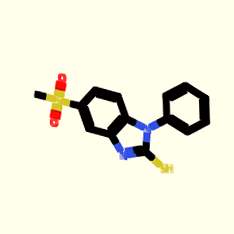 CS(=O)(=O)c1ccc2c(c1)nc(S)n2-c1ccccc1